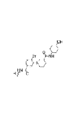 CNC(=O)c1ccc(Br)c(N2CCCC(C(=O)NC3CCC(O)CC3)C2)c1